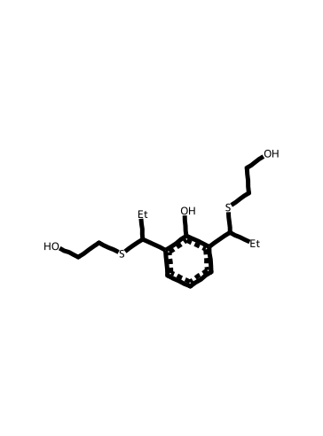 CCC(SCCO)c1cccc(C(CC)SCCO)c1O